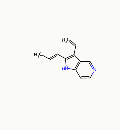 C=Cc1c(C=CC)[nH]c2ccncc12